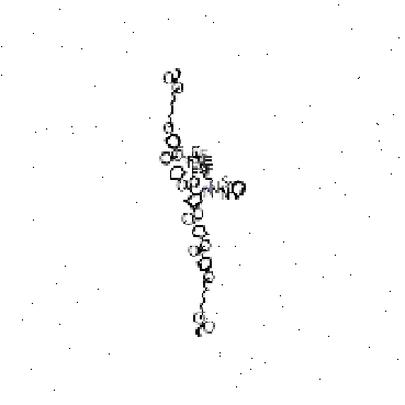 C=CC(=O)OCCCCCCOc1ccc(OC(=O)[C@H]2CC[C@H](OC(=O)c3ccc(OC(=O)[C@H]4CC[C@H](OC(=O)c5ccc(OCCCCCCOC(=O)C=C)cc5)CC4)cc3/C=N/N(CCC(F)(F)C(F)(F)C(F)(F)C(F)(F)F)c3nc4ccccc4s3)CC2)cc1